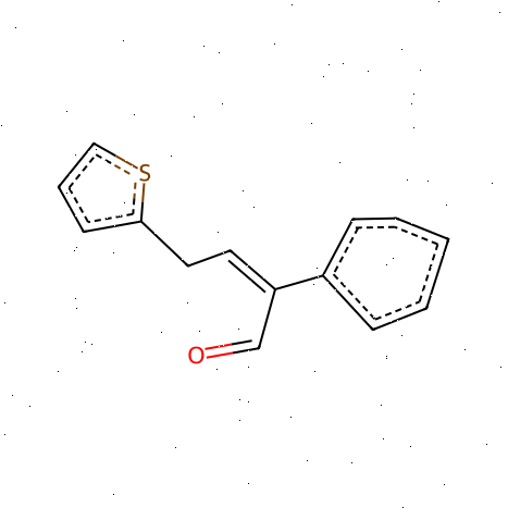 O=CC(=CCc1cccs1)c1ccccc1